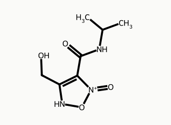 CC(C)NC(=O)c1c(CO)[nH]o[n+]1=O